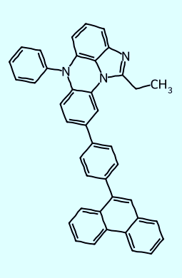 CCc1nc2cccc3c2n1-c1cc(-c2ccc(-c4cc5ccccc5c5ccccc45)cc2)ccc1N3c1ccccc1